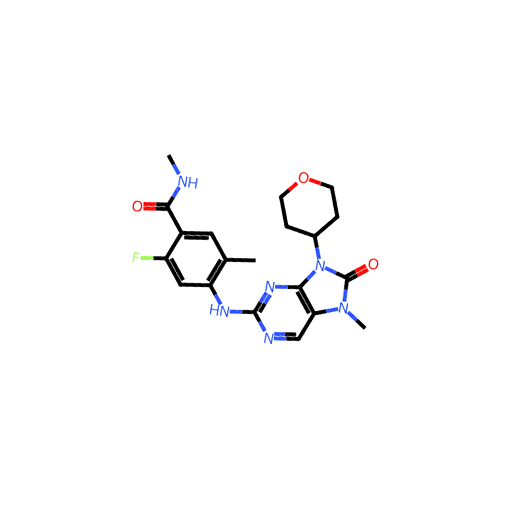 CNC(=O)c1cc(C)c(Nc2ncc3c(n2)n(C2CCOCC2)c(=O)n3C)cc1F